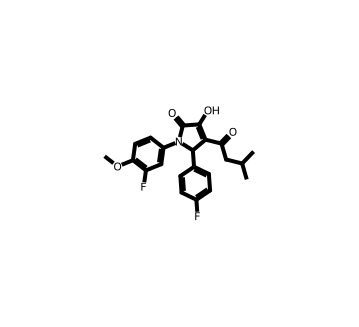 COc1ccc(N2C(=O)C(O)=C(C(=O)CC(C)C)C2c2ccc(F)cc2)cc1F